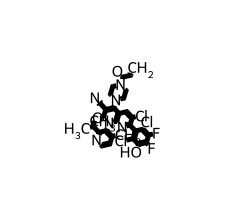 C=CC(=O)N1CCN(c2c(C#N)c(=O)n(-c3c(C)ccnc3C(C)C)c3nc(-c4c(Cl)c(O)c(F)c(F)c4Cl)c(Cl)cc23)CC1